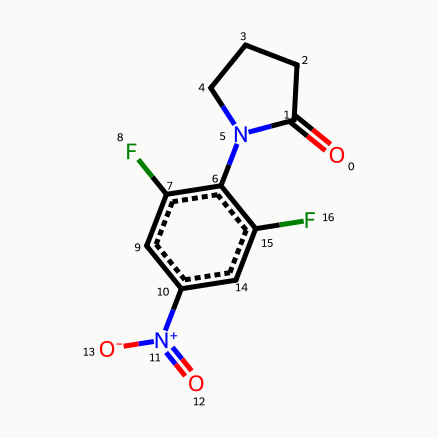 O=C1CCCN1c1c(F)cc([N+](=O)[O-])cc1F